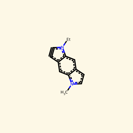 CCn1c#cc2cc3c(ccn3C)cc21